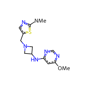 CNc1ncc(CN2CC(Nc3cc(OC)ncn3)C2)s1